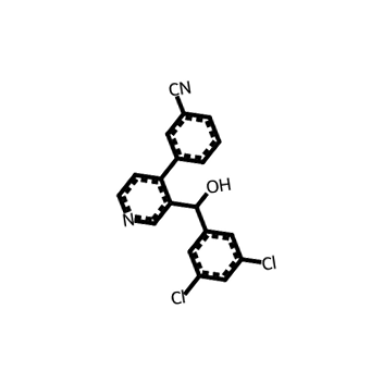 N#Cc1cccc(-c2ccncc2C(O)c2cc(Cl)cc(Cl)c2)c1